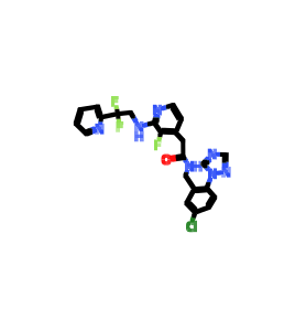 O=C(Cc1ccnc(NCC(F)(F)c2ccccn2)c1F)NCc1cc(Cl)ccc1-n1cncn1